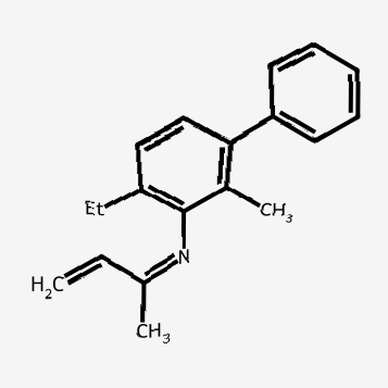 C=C/C(C)=N\c1c(CC)ccc(-c2ccccc2)c1C